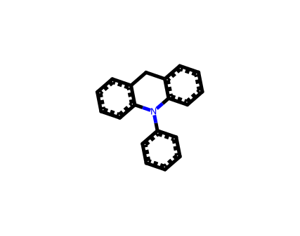 c1ccc(N2c3ccccc3Cc3ccccc32)cc1